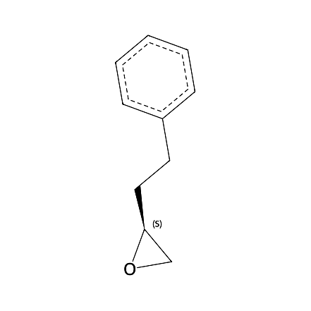 c1ccc(CC[C@H]2CO2)cc1